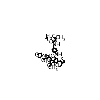 COC(=O)c1nc(C(=O)NC2CCOCC2)ccc1-c1cc2c(cc1C(=O)Nc1ccc(CNC(=O)OC(C)(C)C)cc1)-c1sccc1CCO2